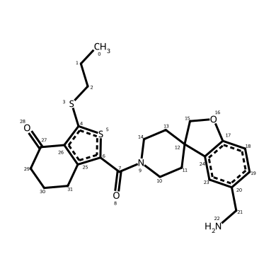 CCCSc1sc(C(=O)N2CCC3(CC2)COc2ccc(CN)cc23)c2c1C(=O)CCC2